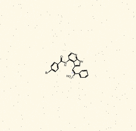 O=C(O)/C(=C/c1c[nH]c2nccc(NC(=O)c3ccc(Br)cc3)c12)c1ccccc1